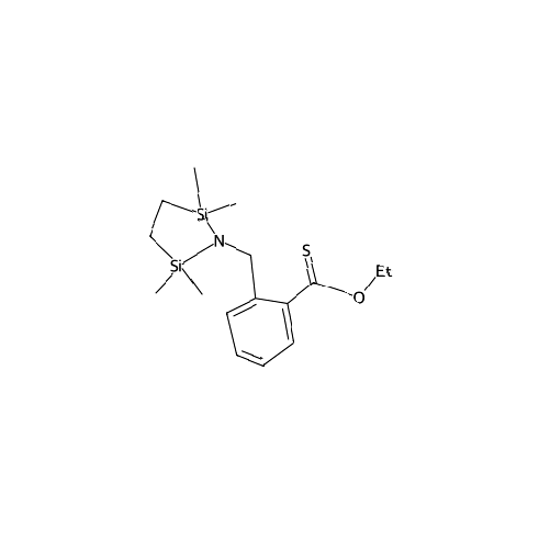 CCOC(=S)c1ccccc1CN1[Si](C)(C)CC[Si]1(C)C